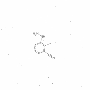 Cc1c(C#N)cccc1NN